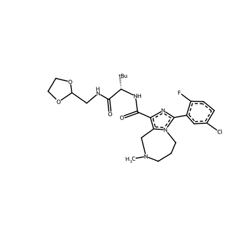 CN1CCCn2c(-c3cc(Cl)ccc3F)nc(C(=O)N[C@H](C(=O)NCC3OCCO3)C(C)(C)C)c2C1